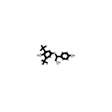 CC(C)(C)c1cc(SC(CO)c2ccc(O)cc2)cc(C(C)(C)C)c1O